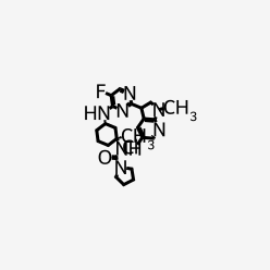 CN1CC(c2ncc(F)c(N[C@@H]3CCC[C@@](C)(NC(=O)N4CCCC4)C3)n2)c2cc(Cl)cnc21